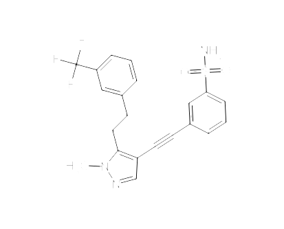 Cn1ncc(C#Cc2cccc(S(N)(=O)=O)c2)c1CCc1cccc(C(F)(F)F)c1